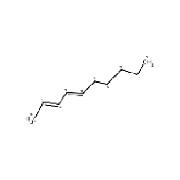 C/C=C/C=C/CCCCC